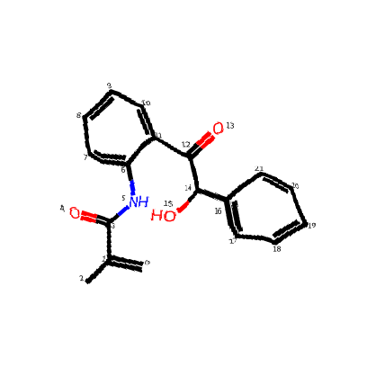 C=C(C)C(=O)Nc1ccccc1C(=O)C(O)c1ccccc1